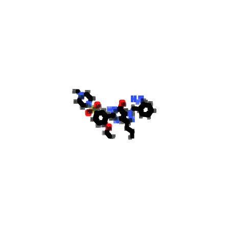 CCCc1nn(Cc2ccccc2N)c2c(=O)[nH]c(-c3cc(S(=O)(=O)N4CCN(C)CC4)ccc3OCC)nc12